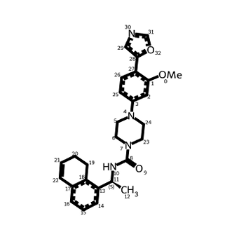 COc1cc(N2CCN(C(=O)N[C@@H](C)c3cccc4c3CCC=C4)CC2)ccc1-c1cnco1